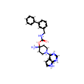 NC1(OC(=O)NCc2cccc(-c3ccccc3)c2)CCN(c2ncnc3[nH]ccc23)CC1